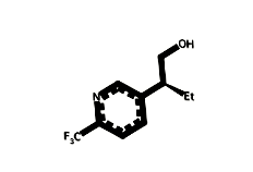 CC[C@H](CO)c1ccc(C(F)(F)F)nc1